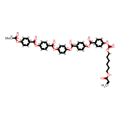 C=CC(=O)OCCCCCCOC(=O)Oc1ccc(C(=O)Oc2ccc(C(=O)Oc3ccc(OC(=O)c4ccc(OC(=O)c5ccc(OC(=O)OC)cc5)cc4)cc3)cc2)cc1